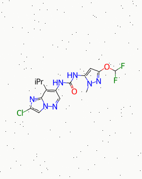 CC(C)c1c(NC(=O)Nc2cc(OC(F)F)nn2C)cnn2cc(Cl)nc12